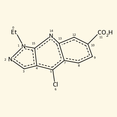 CCn1ncc2c(Cl)c3ccc(C(=O)O)cc3nc21